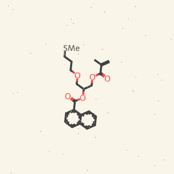 C=C(C)C(=O)OCC(COCCCSC)OC(=O)c1cccc2ccccc12